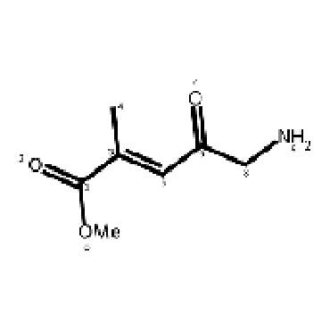 COC(=O)C(C)=CC(=O)CN